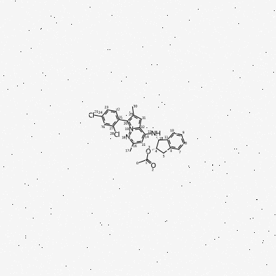 CC(=O)O[C@H]1Cc2ccccc2[C@H]1Nc1cc(C)nn2c(-c3ccc(Cl)cc3Cl)c(C)cc12